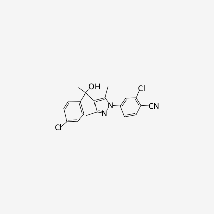 Cc1nn(-c2ccc(C#N)c(Cl)c2)c(C)c1C(C)(O)c1ccc(Cl)cc1